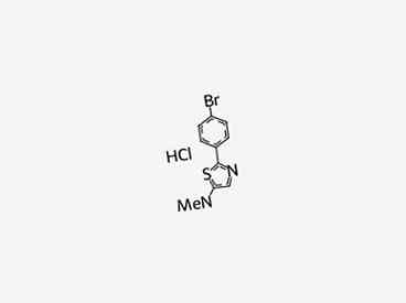 CNc1cnc(-c2ccc(Br)cc2)s1.Cl